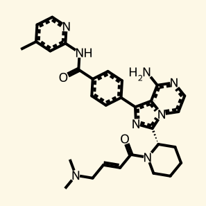 Cc1ccnc(NC(=O)c2ccc(-c3nc([C@@H]4CCCCN4C(=O)/C=C/CN(C)C)n4ccnc(N)c34)cc2)c1